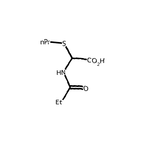 CCCSC(NC(=O)CC)C(=O)O